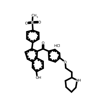 CS(=O)(=O)c1ccc(-c2ccc3cc(O)ccc3c2C(=O)c2ccc(OCCC3CCCCN3)cc2)cc1.Cl